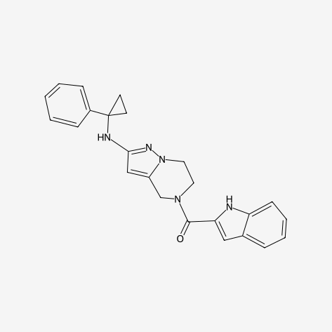 O=C(c1cc2ccccc2[nH]1)N1CCn2nc(NC3(c4ccccc4)CC3)cc2C1